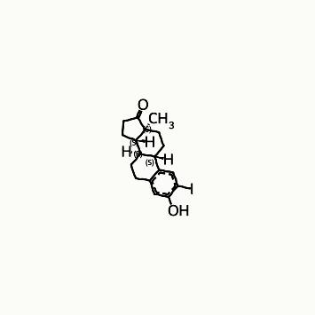 C[C@]12CC[C@@H]3c4cc(I)c(O)cc4CC[C@H]3[C@@H]1CCC2=O